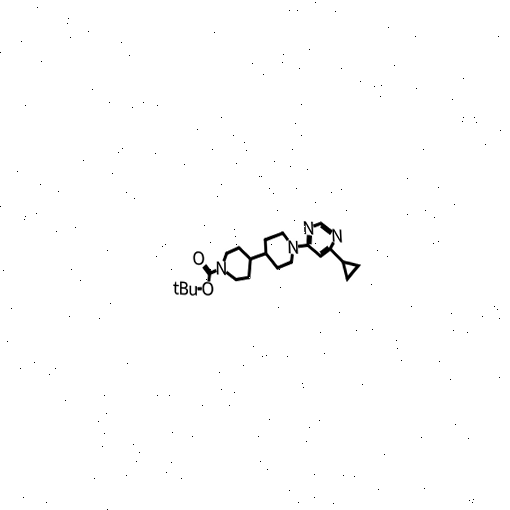 CC(C)(C)OC(=O)N1CCC(C2CCN(c3cc(C4CC4)ncn3)CC2)CC1